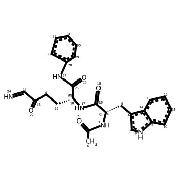 CC(=O)N[C@@H](Cc1c[nH]c2ccccc12)C(=O)N[C@H](CCC(=O)C=N)C(=O)Nc1ccccc1